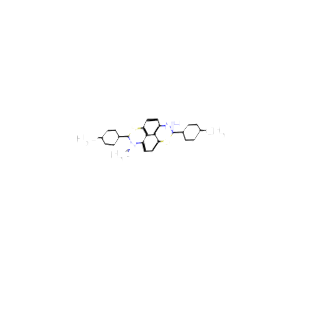 CC1CCC(C2Nc3ccc4c5c(ccc(c35)S2)N(C)C(C2CCC(C)CC2)S4)CC1